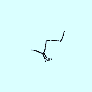 CCCC(C)=N